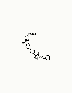 N=C(NC(=O)OCc1ccccc1)c1ccc(-c2ccc(C(=O)N3CCC(CC(=O)O)CC3)cc2)cc1